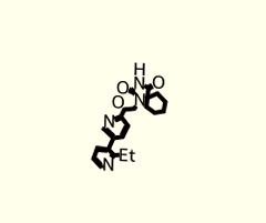 CCc1ncccc1-c1ccc(C(=O)CN2C(=O)NC(=O)C23CCCCC3)nc1